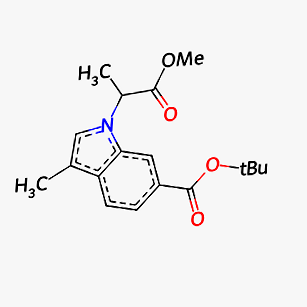 COC(=O)C(C)n1cc(C)c2ccc(C(=O)OC(C)(C)C)cc21